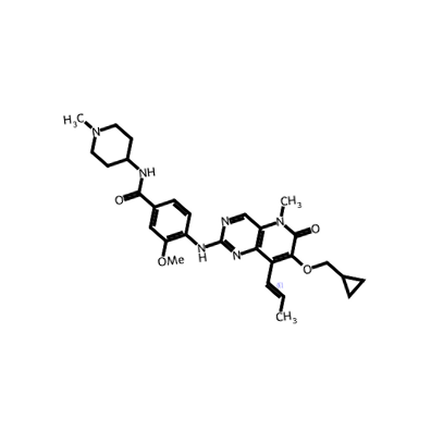 C/C=C/c1c(OCC2CC2)c(=O)n(C)c2cnc(Nc3ccc(C(=O)NC4CCN(C)CC4)cc3OC)nc12